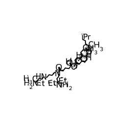 CCC(C)(N)CCNCCCCN(CCC(N)(CC)CC)C(=O)CCCC(=O)O[C@H]1CC[C@@]2(C)C(=CC[C@H]3[C@@H]4CC[C@H]([C@H](C)CCCC(C)C)[C@@]4(C)CC[C@@H]32)C1